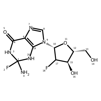 NC1(F)NC(=O)c2ncn([C@@H]3O[C@H](CO)[C@@H](O)C3F)c2N1